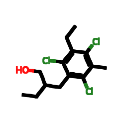 CCc1c(Cl)c(C)c(Cl)c(CC(CC)CO)c1Cl